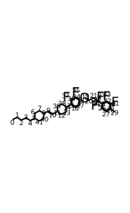 CCCCCC1CCC(/C=C/C2CCC(c3ccc(OCCC(F)(F)c4ccc(C)c(F)c4F)c(F)c3F)CC2)CC1